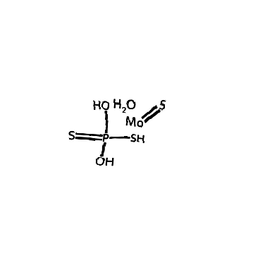 O.OP(O)(=S)S.[S]=[Mo]